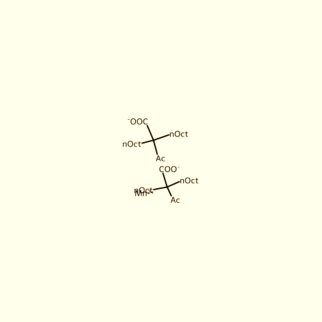 CCCCCCCCC(CCCCCCCC)(C(C)=O)C(=O)[O-].CCCCCCCCC(CCCCCCCC)(C(C)=O)C(=O)[O-].[Mn+2]